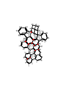 c1ccc(-c2cccc3cccc(-c4ccccc4N(c4ccccc4-c4ccc5c(c4)C4(c6ccccc6-5)C5CC6CC7CC4C675)c4ccccc4-c4ccc5c(c4)oc4ccccc45)c23)cc1